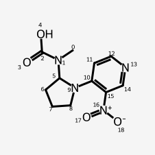 CN(C(=O)O)C1CCCN1c1ccncc1[N+](=O)[O-]